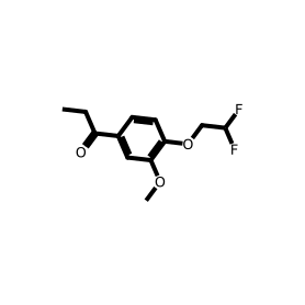 CCC(=O)c1ccc(OCC(F)F)c(OC)c1